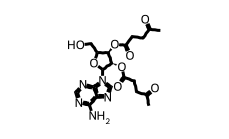 CC(=O)CCC(=O)O[C@@H]1C(CO)OC(n2cnc3c(N)ncnc32)[C@H]1OC(=O)CCC(C)=O